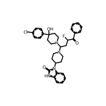 O=C(c1ccccc1)C(F)CC(N1CCC(n2c(=O)[nH]c3ccccc32)CC1)N1CCC(O)(c2ccc(Cl)cc2)CC1